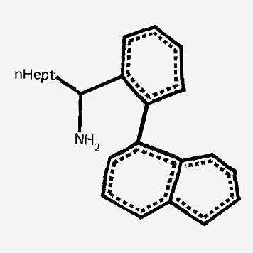 CCCCCCCC(N)c1ccccc1-c1cccc2ccccc12